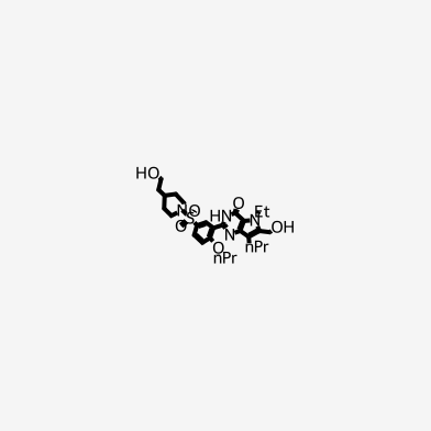 CCCOc1ccc(S(=O)(=O)N2CCC(CCO)CC2)cc1-c1nc2c(CCC)c(CO)n(CC)c2c(=O)[nH]1